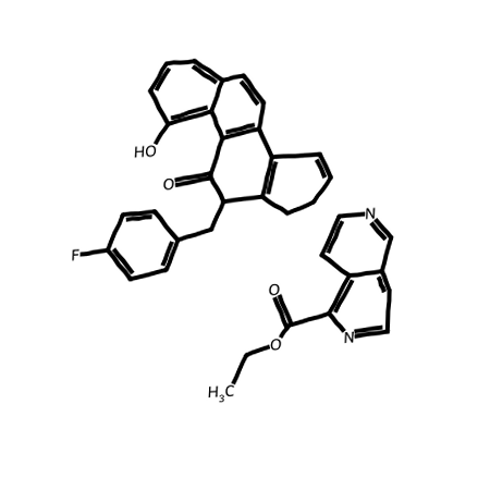 CCOC(=O)c1nccc2cnccc12.O=C1c2c(ccc3cccc(O)c23)C2=C(CCC=C2)C1Cc1ccc(F)cc1